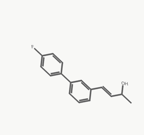 CC(O)/C=C/c1cccc(-c2ccc(F)cc2)c1